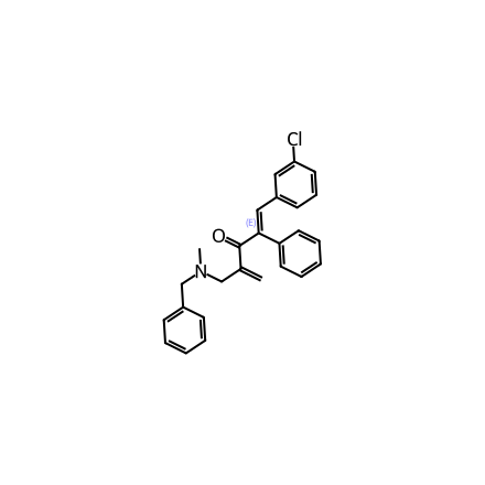 C=C(CN(C)Cc1ccccc1)C(=O)/C(=C/c1cccc(Cl)c1)c1ccccc1